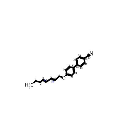 CCC/C=C/C=C/COc1ccc(-c2ccc(C#N)cc2)cc1